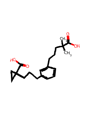 CC(C)(CCCc1cccc(CCCC2(C(=O)O)CC2)c1)C(=O)O